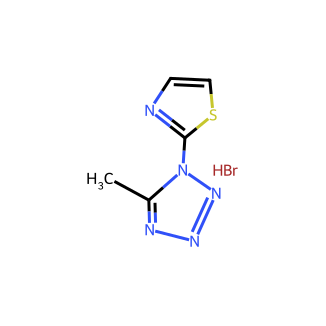 Br.Cc1nnnn1-c1nccs1